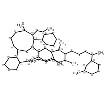 CCCCCC(C)C(CCCC(C)C1CCCC(C)C1)B(C)C1CC(N2CC(C3CCCCC3C)CCCC(C)C(CCC)C2C2CCCCC2)C(C)CC1C